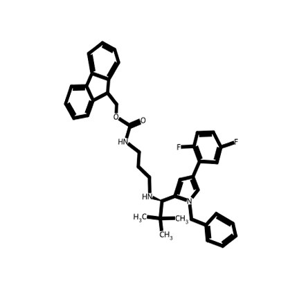 CC(C)(C)[C@@H](NCCCNC(=O)OCC1c2ccccc2-c2ccccc21)c1cc(-c2cc(F)ccc2F)cn1Cc1ccccc1